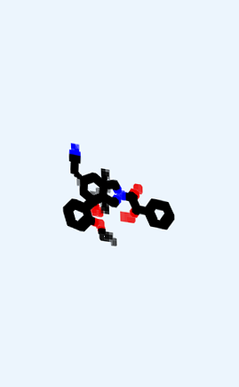 COc1ccccc1[C@]1(O)C[C@H](CC#N)C[C@H]2CN(C(=O)C(O)c3ccccc3)C[C@H]21